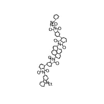 CCn1c2ccccc2c2cc(N3C(=O)c4cccc(-c5ccc6c(c5)C(=O)N(c5ccc7ccc8c(N9C(=O)c%10cccc(-c%11ccc%12c(c%11)C(=O)N(c%11nnc(-c%13ccccc%13)o%11)C%12=O)c%10C9=O)ccc9ccc5c7c98)C6=O)c4C3=O)ccc21